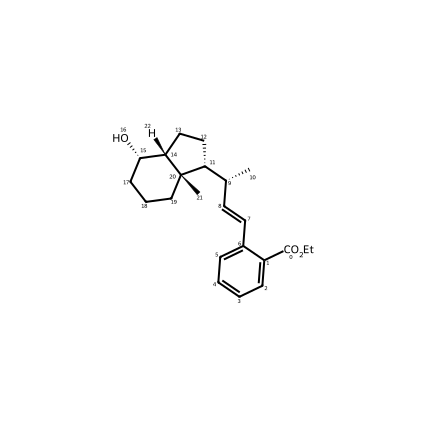 CCOC(=O)c1ccccc1/C=C/[C@@H](C)[C@H]1CC[C@H]2[C@@H](O)CCC[C@@]12C